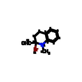 CN1c2ccccc2CCC1(Br)C=O